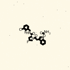 NC(=O)On1cc(CC(=O)N2C[C@H](F)C[C@H]2C(=O)NCc2cccc(Cl)c2F)c2ccccc21